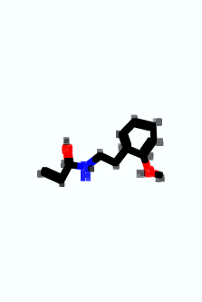 C=CC(=O)NCCc1ccccc1OC